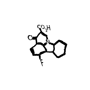 O=C(O)c1cn2c3c(c(F)ccc3c1=O)C1CCCCC12